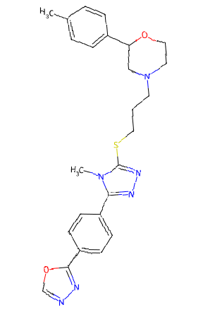 Cc1ccc(C2CN(CCCSc3nnc(-c4ccc(-c5nnco5)cc4)n3C)CCO2)cc1